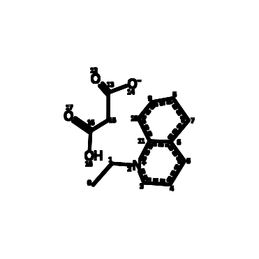 CC[n+]1cccc2ccccc21.O=C([O-])CC(=O)O